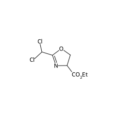 CCOC(=O)C1COC(C(Cl)Cl)=N1